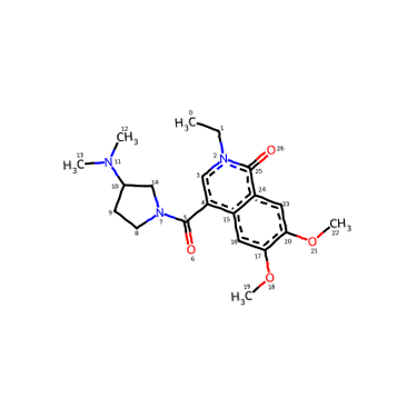 CCn1cc(C(=O)N2CCC(N(C)C)C2)c2cc(OC)c(OC)cc2c1=O